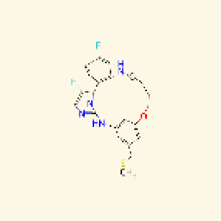 CSCc1cc2cc(c1)OCCCCNc1cc(F)ccc1-c1nc(ncc1F)N2